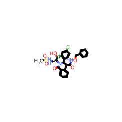 CS(=O)(=O)NC[C@@H](CO)N1C(=O)c2ccccc2C(C(=O)NOCc2ccccc2)C1c1ccc(Cl)cc1Cl